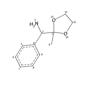 CC1(C(N)c2ccccc2)OCCO1